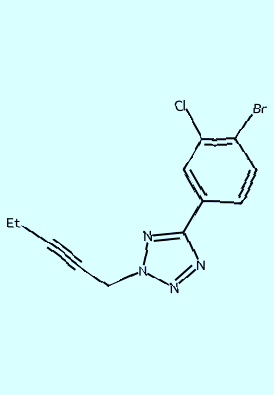 CCC#CCn1nnc(-c2ccc(Br)c(Cl)c2)n1